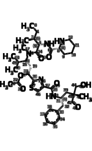 CC[C@H](C)[C@H](NC(=O)[C@H]1CCCCN1)C(=O)N(C)[C@H](C[C@@H](OC(C)=O)c1nc(C(=O)N[C@@H](Cc2ccccc2)C[C@@](C)(C=O)CO)cs1)C(C)C